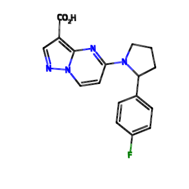 O=C(O)c1cnn2ccc(N3CCCC3c3ccc(F)cc3)nc12